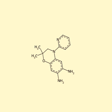 CC1(C)CN(c2ccccn2)c2cc(N)c(N)cc2O1